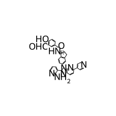 Nc1ncccc1-c1nc2ccc(-c3ccncc3)nc2n1-c1ccc2c(c1)CC[C@@H]2NC(=O)c1ccc(O)c(C=O)c1